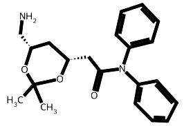 CC1(C)O[C@H](CN)C[C@H](CC(=O)N(c2ccccc2)c2ccccc2)O1